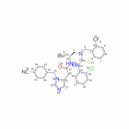 CC[C@H](C)[C@@H](CN(Cc1ccccc1C(F)(F)F)C(=S)Nc1ccccc1Cl)NC(=O)Cc1cncn1Cc1ccc(C#N)cc1